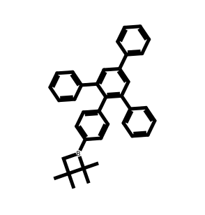 CC1(C)CB(c2ccc(-c3c(-c4ccccc4)cc(-c4ccccc4)cc3-c3ccccc3)cc2)C1(C)C